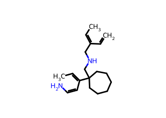 C=C/C(=C\C)CNCC1(C(/C=C\N)=C/C)CCCCCC1